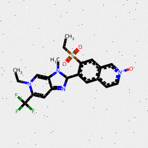 CCN1C=C2C(=NC(c3cc4cc[n+]([O-])cc4cc3S(=O)(=O)CC)N2C)C=C1C(F)(F)F